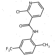 Cc1ccc(C(F)(F)F)cc1NC(=O)c1cccnc1Cl